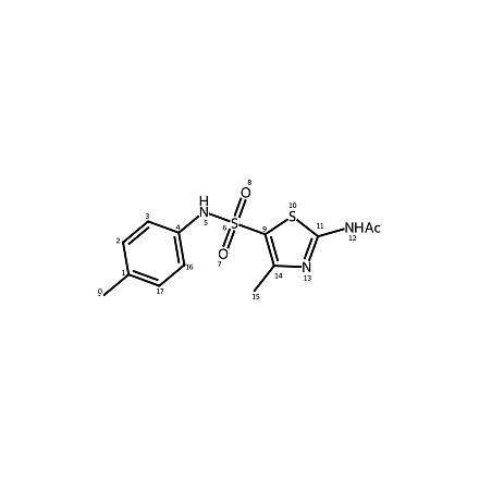 [CH2]c1ccc(NS(=O)(=O)c2sc(NC(C)=O)nc2C)cc1